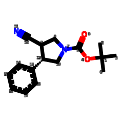 CC(C)(C)OC(=O)N1CC(C#N)[C@@H](c2ccccc2)C1